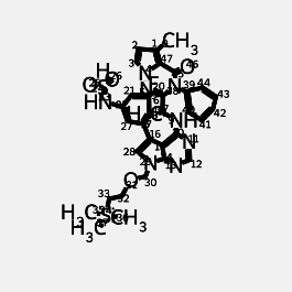 Cc1ccn2nc([C@H](C)Nc3ncnc4c3c(-c3cc(F)cc(N[SH](=O)=O)c3)cn4COCC[Si](C)(C)C)n(-c3ccccc3)c(=O)c12